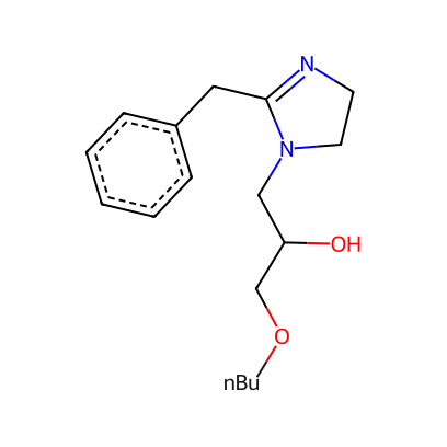 CCCCOCC(O)CN1CCN=C1Cc1ccccc1